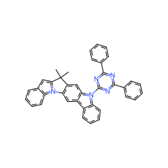 CC1(C)c2cc3c(cc2-n2c1cc1ccccc12)c1ccccc1n3-c1nc(-c2ccccc2)nc(-c2ccccc2)n1